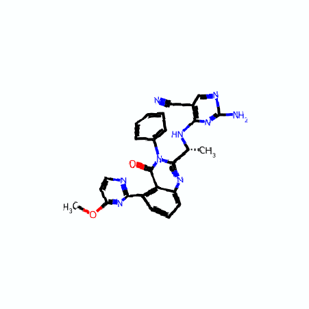 COc1ccnc(-c2cccc3nc([C@@H](C)Nc4nc(N)ncc4C#N)n(-c4ccccc4)c(=O)c23)n1